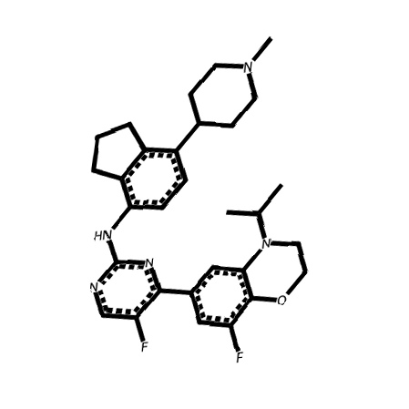 CC(C)N1CCOc2c(F)cc(-c3nc(Nc4ccc(C5CCN(C)CC5)c5c4CCC5)ncc3F)cc21